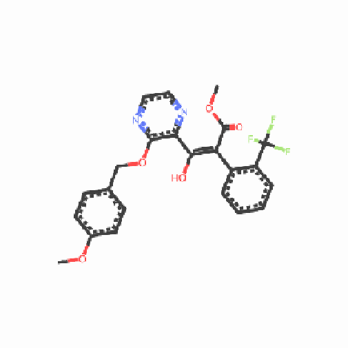 COC(=O)/C(=C(/O)c1nccnc1OCc1ccc(OC)cc1)c1ccccc1C(F)(F)F